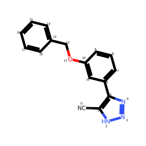 N#Cc1[nH]nnc1-c1cccc(OCc2ccccc2)c1